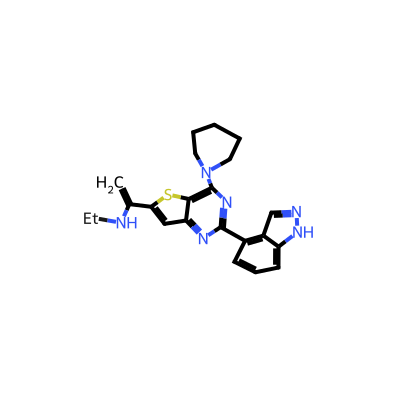 C=C(NCC)c1cc2nc(-c3cccc4[nH]ncc34)nc(N3CCCCC3)c2s1